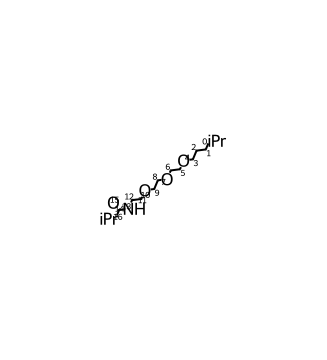 CC(C)CCCOCCOCCOCCNC(=O)C(C)C